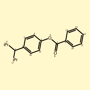 CC(C)C(c1ccc(OC(=O)c2ccccc2)cc1)C(C)C